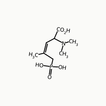 CC(=CC(C(=O)O)N(C)C)CP(=O)(O)O